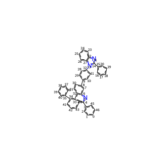 c1ccc(-c2nc3cc(-c4ccc(-n5c(-c6ccccc6)nc6ccccc65)cc4)ccc3c3c(-c4ccccc4)cccc23)cc1